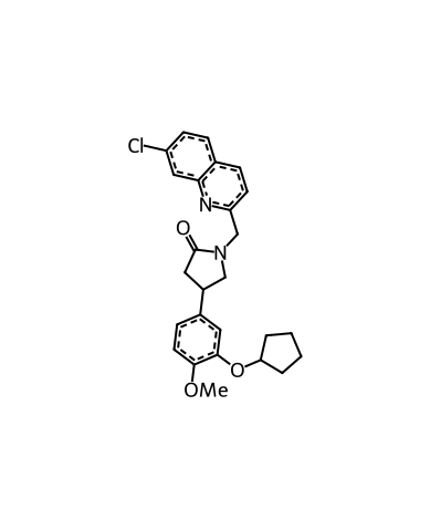 COc1ccc(C2CC(=O)N(Cc3ccc4ccc(Cl)cc4n3)C2)cc1OC1CCCC1